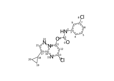 O=C(Nc1cccc(Cl)c1)Oc1cc(Cl)nc2c(C3CC3)cnn12